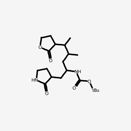 CC(CC(CC1CCNC1=O)NC(=O)OC(C)(C)C)C(C)C1CCOC1=O